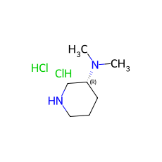 CN(C)[C@@H]1CCCNC1.Cl.Cl